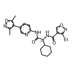 CCc1nocc1C(=O)N[C@H](C(=O)Nc1ccc(-c2c(C)noc2C)cn1)C1CCCCC1